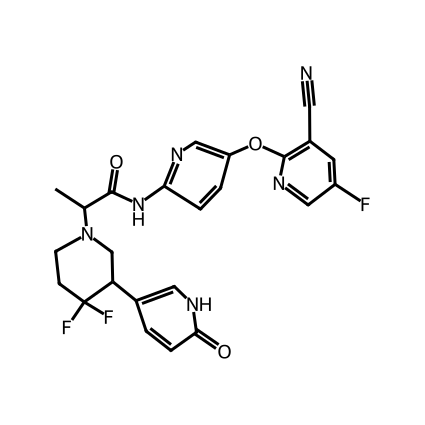 CC(C(=O)Nc1ccc(Oc2ncc(F)cc2C#N)cn1)N1CCC(F)(F)C(c2ccc(=O)[nH]c2)C1